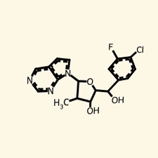 CC1C(O)C(C(O)c2ccc(Cl)c(F)c2)OC1n1ccc2cncnc21